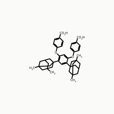 CC12CC3CC(C)(C1)CC(c1cc(C45CC6CC(C)(CC(C)(C6)C4)C5)c(Oc4ccc(C(=O)O)cc4)cc1Oc1ccc(C(=O)O)cc1)(C3)C2